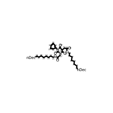 CCCCCCCCCCCCCCCCCCOC(=O)CC1C(=O)N(CC(=O)OCCCCCCCCCCCCCCCCCC)C(=O)N(c2ccccc2)C1=O